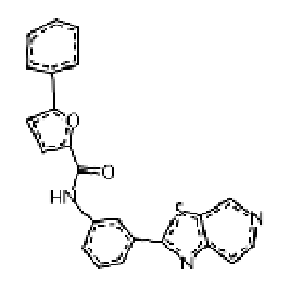 O=C(Nc1cccc(-c2nc3ccncc3s2)c1)c1ccc(-c2ccccc2)o1